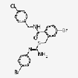 N/C(=N\c1ccc(Br)cc1)SCc1cc(Br)ccc1C(=O)NCc1ccc(Cl)cc1